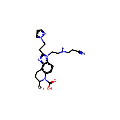 C[C@H]1CCc2c(ccc3c2nc(CCn2cccn2)n3CCNCCC#N)N1C(=O)O